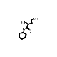 NN(CCO)C(=O)NC1CCCCC1